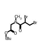 CN(CC(=O)OC(C)(C)C)C(=O)C(Br)CBr